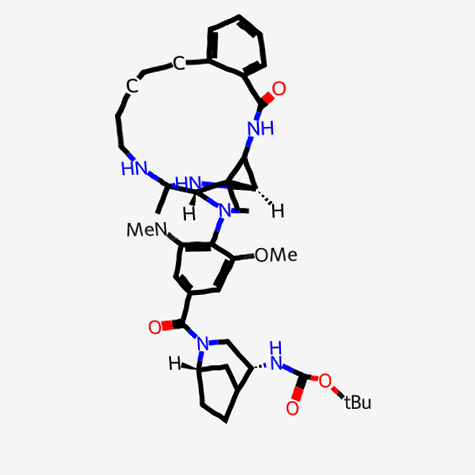 CNc1cc(C(=O)N2C[C@H](NC(=O)OC(C)(C)C)C3CC[C@H]2C3)cc(OC)c1N(C)[C@@H]1C2(C)NCCCCCc3ccccc3C(=O)NC3[C@@H](N2)C31C